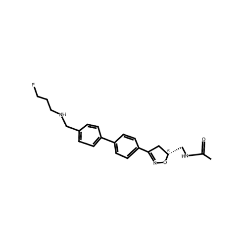 CC(=O)NC[C@H]1CC(c2ccc(-c3ccc(CNCCCF)cc3)cc2)=NO1